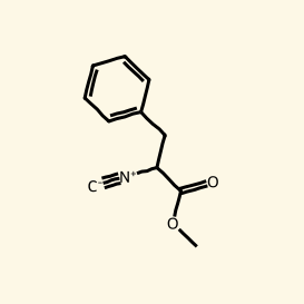 [C-]#[N+]C(Cc1ccccc1)C(=O)OC